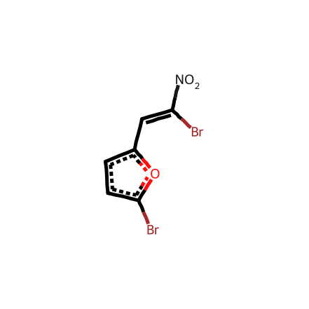 O=[N+]([O-])C(Br)=Cc1ccc(Br)o1